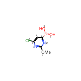 COc1nc(Cl)cc(B(O)O)n1